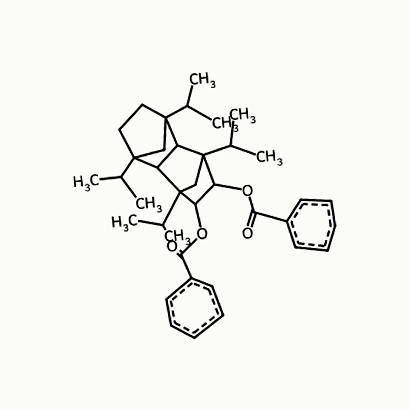 CC(C)C12CCC(C(C)C)(C1)C1C2C2(C(C)C)CC1(C(C)C)C(OC(=O)c1ccccc1)C2OC(=O)c1ccccc1